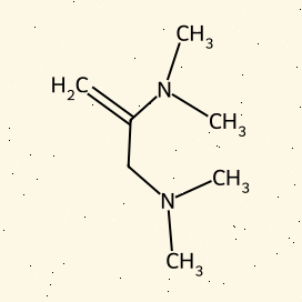 C=C(CN(C)C)N(C)C